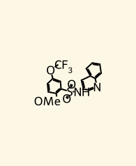 COc1ccc(OC(F)(F)F)cc1S(=O)(=O)Nc1cnc2ccccc2c1